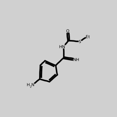 CCSC(=O)NC(=N)c1ccc(N)cc1